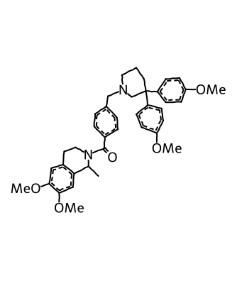 COc1ccc(C2(c3ccc(OC)cc3)CCCN(Cc3ccc(C(=O)N4CCc5cc(OC)c(OC)cc5C4C)cc3)C2)cc1